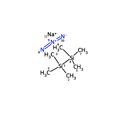 C[Si](C)(C)[Si](C)(C)C.[N-]=[N+]=[N-].[Na+]